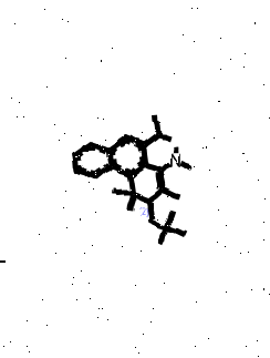 CC1=C(N(C)C)c2c(C(C)C)cc3ccccc3c2C(C)(C)/C1=C/C(C)(C)C